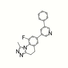 Cc1nnc2n1-c1c(F)cc(-c3cncc(-c4ccccc4)c3)cc1CC2